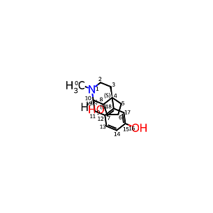 CN1CC[C@]23CCC[C@@]2(O)[C@H]1Cc1ccc(O)cc13